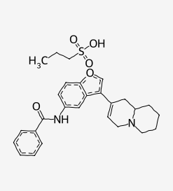 CCCS(=O)(=O)O.O=C(Nc1ccc2occ(C3=CCN4CCCCC4C3)c2c1)c1ccccc1